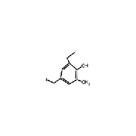 Cc1cc(CI)cc(CI)c1O